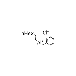 CCCCCCC[CH2][Al+][CH2]c1ccccc1.[Cl-]